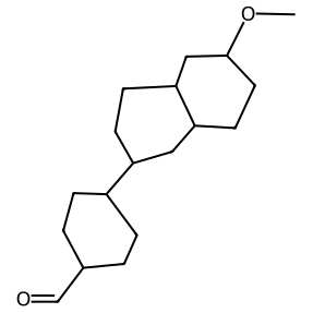 COC1CCC2CC(C3CCC(C=O)CC3)CCC2C1